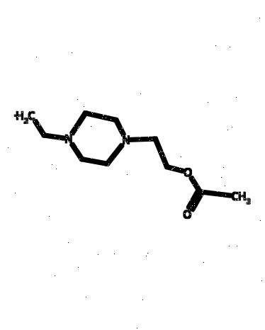 [CH2]CN1CCN(CCOC(C)=O)CC1